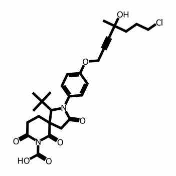 CC(O)(C#CCOc1ccc(N2C(=O)CC3(CCC(=O)N(C(=O)O)C3=O)C2C(C)(C)C)cc1)CCCCl